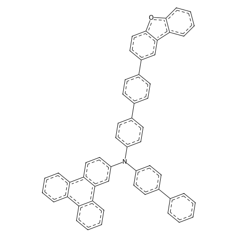 c1ccc(-c2ccc(N(c3ccc(-c4ccc(-c5ccc6oc7ccccc7c6c5)cc4)cc3)c3ccc4c5ccccc5c5ccccc5c4c3)cc2)cc1